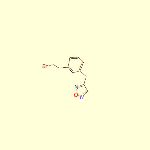 BrCCc1cccc(Cc2cnon2)c1